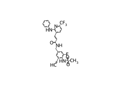 C#Cc1cc(CNC(=O)/C=C/c2ccc(C(F)(F)F)nc2Nc2ccccc2)cc(F)c1NS(C)(=O)=O